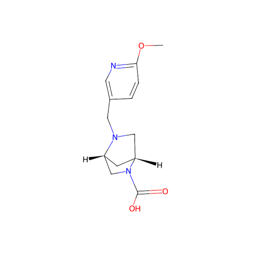 COc1ccc(CN2C[C@H]3C[C@@H]2CN3C(=O)O)cn1